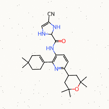 CC1(C)CC=C(c2nc(C3CC(C)(C)OC(C)(C)C3)ccc2NC(=O)C2NC=C(C#N)N2)CC1